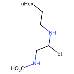 CCCCCCCCNC(CC)CNC(=O)O